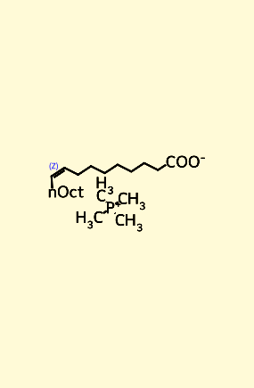 CCCCCCCC/C=C\CCCCCCCC(=O)[O-].C[P+](C)(C)C